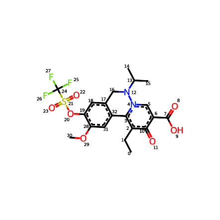 CCc1c2n(cc(C(=O)O)c1=O)N(C(C)C)Cc1cc(OS(=O)(=O)C(F)(F)F)c(OC)cc1-2